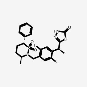 C[C@H](c1n[nH]c(=O)o1)c1cc(F)c(CN2[C@@H](C)CC[C@H](c3ccccc3)S2(=O)=O)cc1F